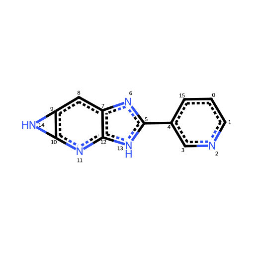 c1cncc(-c2nc3cc4c(nc3[nH]2)N4)c1